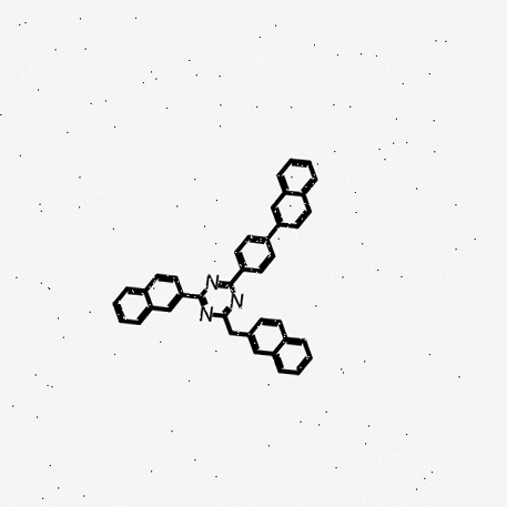 c1ccc2cc(Cc3nc(-c4ccc(-c5ccc6ccccc6c5)cc4)nc(-c4ccc5ccccc5c4)n3)ccc2c1